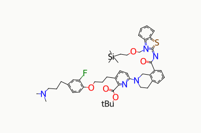 CN(C)CCCc1ccc(OCCCc2ccc(N3CCc4cccc(C(=O)/N=c5/sc6ccccc6n5COCC[Si](C)(C)C)c4C3)nc2C(=O)OC(C)(C)C)c(F)c1